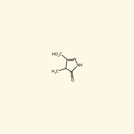 CC1C(=O)NN=C1C(=O)O